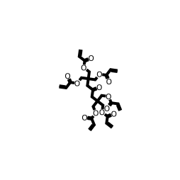 C=CC(=O)OCC(COC(=O)C=C)(COC(=O)C=C)CC(=O)CC(COC(=O)C=C)(COC(=O)C=C)COC(=O)C=C